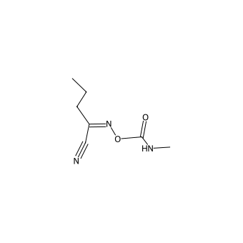 CCCC(C#N)=NOC(=O)NC